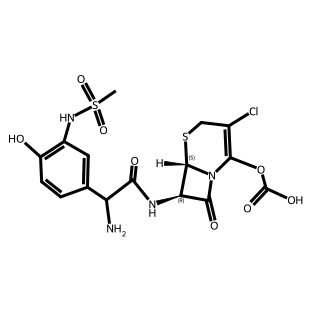 CS(=O)(=O)Nc1cc(C(N)C(=O)N[C@@H]2C(=O)N3C(OC(=O)O)=C(Cl)CS[C@@H]23)ccc1O